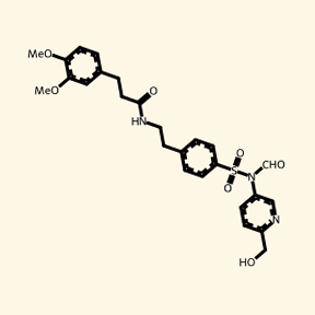 COc1ccc(CCC(=O)NCCc2ccc(S(=O)(=O)N(C=O)c3ccc(CO)nc3)cc2)cc1OC